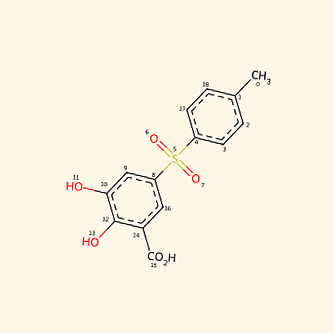 Cc1ccc(S(=O)(=O)c2cc(O)c(O)c(C(=O)O)c2)cc1